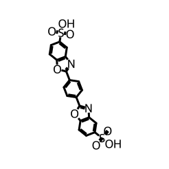 O=S(=O)(O)c1ccc2oc(-c3ccc(-c4nc5cc(S(=O)(=O)O)ccc5o4)cc3)nc2c1